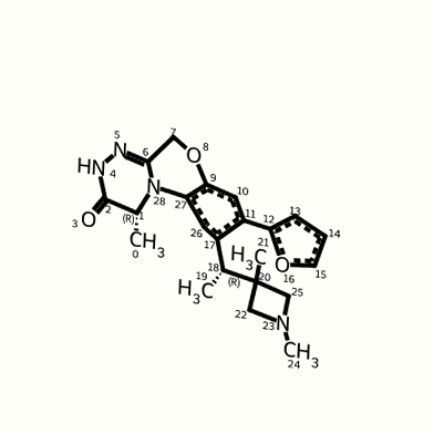 C[C@@H]1C(=O)NN=C2COc3cc(-c4ccco4)c([C@@H](C)C4(C)CN(C)C4)cc3N21